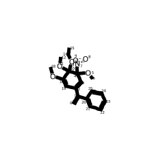 C=C(C1=CC(OC)([N+](=O)[O-])C(OC)(OCC)C(OC)=C1)c1ccccc1